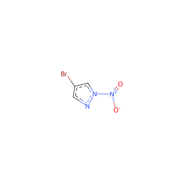 O=[N+]([O-])n1cc(Br)cn1